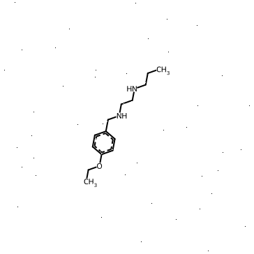 CCCNCCNCc1ccc(OCC)cc1